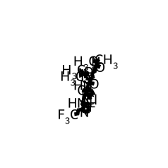 CN(C)C(=O)/C=C/CCC(OC(=O)N(C)C)C(=O)Nc1ccc(Cl)n(Cc2nc3c(F)cnc(CCC(F)(F)F)c3[nH]2)c1=O